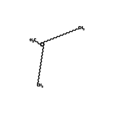 [CH2]CCCc1cc(CCCCCCCCCCCCCCCCCCCCCCC)cc(CCCCCCCCCCCCCCCCCCCCCCC)c1